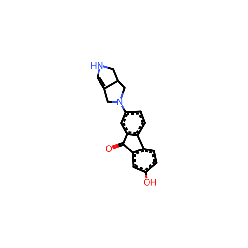 O=C1c2cc(O)ccc2-c2ccc(N3CC4=CNCC4C3)cc21